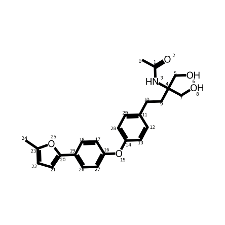 CC(=O)NC(CO)(CO)CCc1ccc(Oc2ccc(-c3ccc(C)o3)cc2)cc1